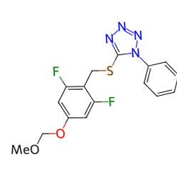 COCOc1cc(F)c(CSc2nnnn2-c2ccccc2)c(F)c1